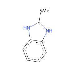 CSC1Nc2ccccc2N1